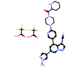 Cn1cc(-c2cc(-c3ccc(N4CCN(C(=O)C5CCCCN5)CC4)nc3)c3c(C#N)cnn3c2)cn1.O=C(O)C(F)(F)F.O=C(O)C(F)(F)F